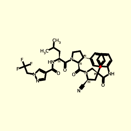 CC(C)C[C@H](NC(=O)c1cnn(CC(F)(F)F)c1)C(=O)N1CC[C@H](c2ccccc2)[C@H]1C(=O)N1C[C@]2(C[C@H]1C#N)C(=O)Nc1ccccc12